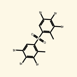 Cc1c(S(=O)(=O)c2cc(Br)c(Br)c(Br)c2C)cc(Br)c(Br)c1Br